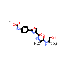 C=C(NC(=O)c1coc(-c2ccc(NC(=O)OC(C)(C)C)cc2)n1)C(=O)N[C@@H](CO)C(=O)O